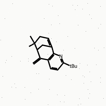 C=C1c2ccc(C(C)(C)C)nc2C2=CCC(C)(C)C1C2